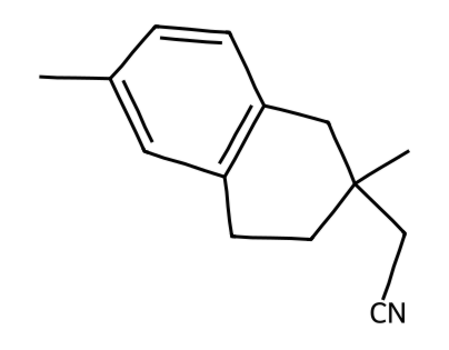 Cc1ccc2c(c1)CCC(C)(CC#N)C2